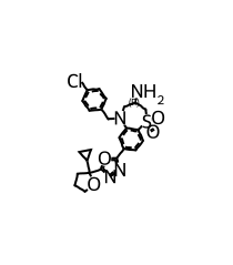 N[C@@H]1CN(Cc2ccc(Cl)cc2)c2cc(-c3nnc(C4(C5CC5)CCCO4)o3)ccc2S(=O)(=O)C1